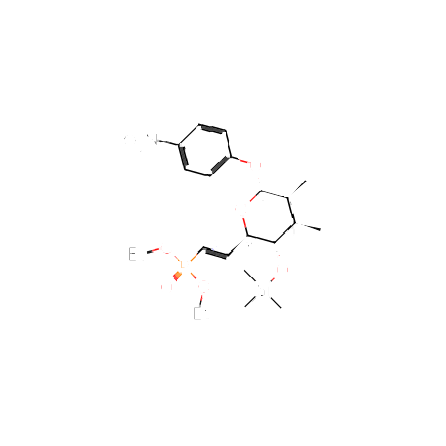 CCOP(=O)(/C=C/[C@H]1O[C@H](Oc2ccc([N+](=O)[O-])cc2)[C@@H](C)[C@@H](C)[C@@H]1O[Si](C)(C)C)OCC